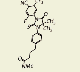 CNC(=O)CCCc1ccc(N2C(=S)N(C3=CC(C(F)(F)F)C(C#N)C=C3F)C(=O)C2(C)C)cc1